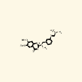 COc1cc2[nH]c(N(C)Cc3cccc(N=CN(C)C)c3)nc(=O)c2cc1OC